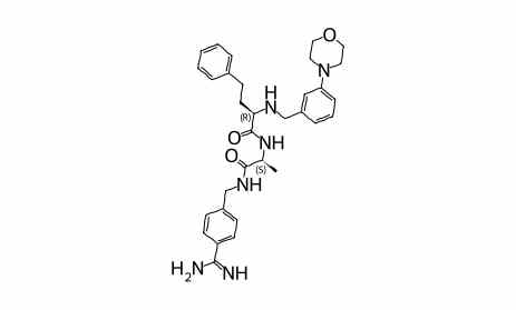 C[C@H](NC(=O)[C@@H](CCc1ccccc1)NCc1cccc(N2CCOCC2)c1)C(=O)NCc1ccc(C(=N)N)cc1